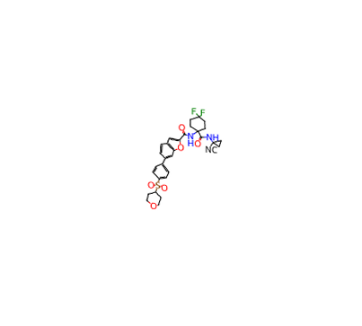 N#CC1(NC(=O)C2(NC(=O)c3cc4ccc(-c5ccc(S(=O)(=O)C6CCOCC6)cc5)cc4o3)CCC(F)(F)CC2)CC1